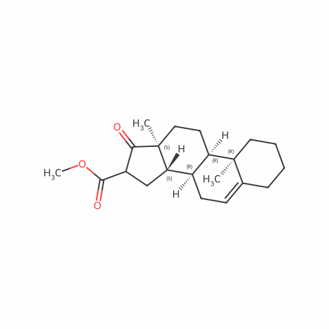 COC(=O)C1C[C@H]2[C@@H]3CC=C4CCCC[C@]4(C)[C@@H]3CC[C@]2(C)C1=O